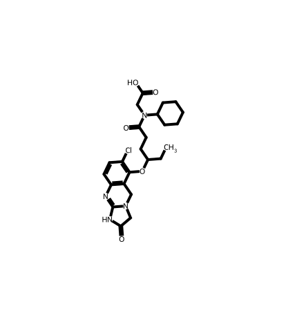 CCC(CCC(=O)N(CC(=O)O)C1CCCCC1)Oc1c(Cl)ccc2c1CN1CC(=O)NC1=N2